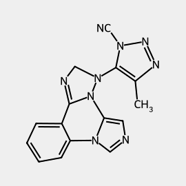 Cc1nnn(C#N)c1N1CN=C2c3ccccc3-n3cncc3N21